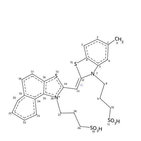 Cc1ccc2c(c1)N(CCCS(=O)(=O)O)/C(=C/c1sc3ccc4ccccc4c3[n+]1CCCS(=O)(=O)O)S2